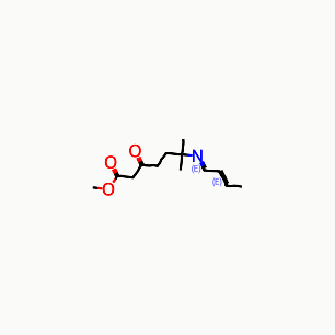 C/C=C/C=N/C(C)(C)CCC(=O)CC(=O)OC